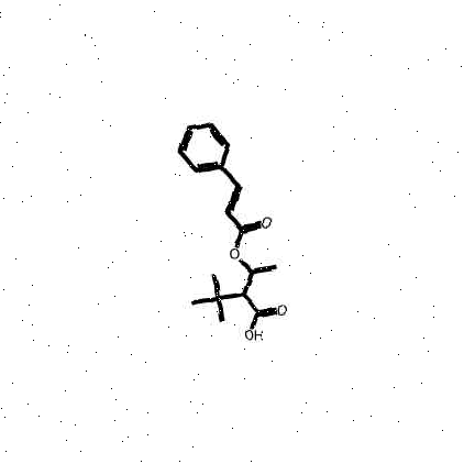 CC(OC(=O)C=Cc1ccccc1)C(C(=O)O)C(C)(C)C